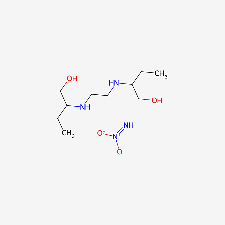 CCC(CO)NCCNC(CC)CO.N=[N+]([O-])[O-]